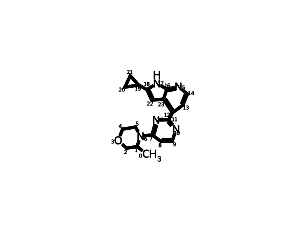 CC1COCCN1c1ccnc(-c2ccnc3[nH]c(C4CC4)cc23)n1